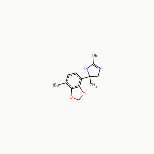 CC(C)(C)C1=NCC(C)(c2ccc(C(C)(C)C)c3c2OCO3)N1